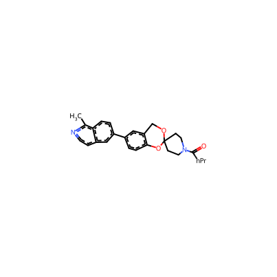 CCCC(=O)N1CCC2(CC1)OCc1cc(-c3ccc4c(C)nccc4c3)ccc1O2